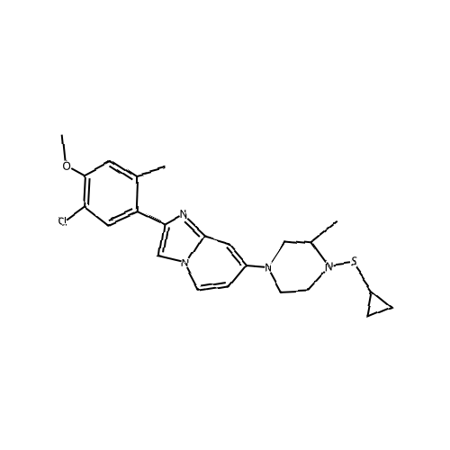 COc1cc(C)c(-c2cn3ccc(N4CCN(SC5CC5)C(C)C4)cc3n2)cc1Cl